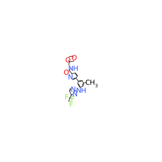 Cc1cc(Nc2nccc(C(F)(F)CF)n2)cc(-c2ccc(C(=O)NCC3COCCO3)nc2)c1